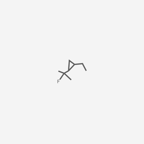 CCC1CC1C(C)(C)F